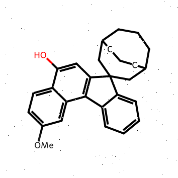 COc1ccc2c(O)cc3c(c2c1)-c1ccccc1C31CC2CCCC(CCC2)C1